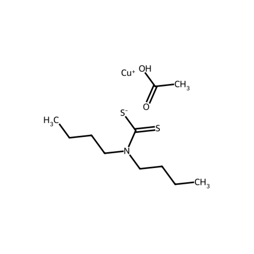 CC(=O)O.CCCCN(CCCC)C(=S)[S-].[Cu+]